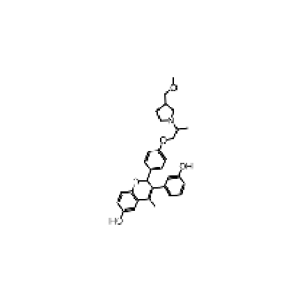 COCC1CCN(C(C)COc2ccc(C3Oc4ccc(O)cc4C(C)=C3c3cccc(O)c3)cc2)C1